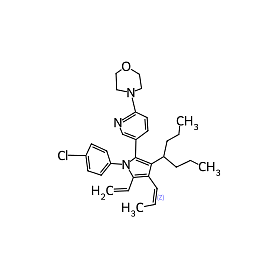 C=Cc1c(/C=C\C)c(C(CCC)CCC)c(-c2ccc(N3CCOCC3)nc2)n1-c1ccc(Cl)cc1